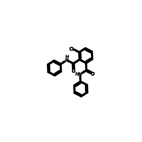 O=C(Nc1ccccc1)c1cccc(Cl)c1C(=O)Nc1ccccc1